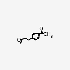 CC(=O)c1ccc(CCC2CO2)cc1